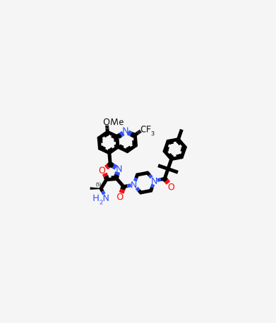 COc1ccc(-c2nc(C(=O)N3CCN(C(=O)C(C)(C)c4ccc(C)cc4)CC3)c([C@H](C)N)o2)c2ccc(C(F)(F)F)nc12